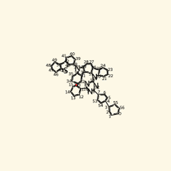 c1ccc(-c2ccc(-c3nc(-c4ccccc4)nc(-n4c5ccccc5c5ccc6c(c7ccccc7n6-c6cccc7c6sc6ccccc67)c54)n3)cc2)cc1